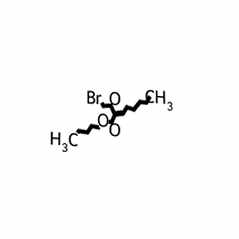 CCCCC/C=C(\C(=O)CBr)C(=O)OCCCCC